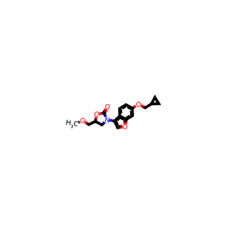 COCC1CN(c2coc3cc(OCC4CC4)ccc23)C(=O)O1